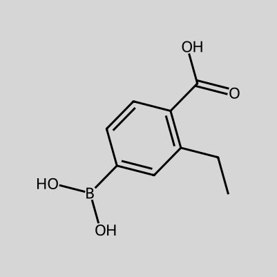 CCc1cc(B(O)O)ccc1C(=O)O